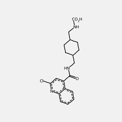 O=C(O)NCC1CCC(CNC(=O)c2cc(Cl)nc3ccccc23)CC1